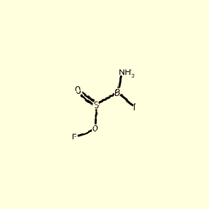 NB(I)S(=O)OF